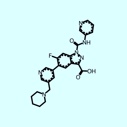 O=C(O)c1nn(C(=O)Nc2cccnc2)c2cc(F)c(-c3cncc(CN4CCCCC4)c3)cc12